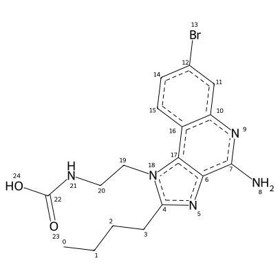 CCCCc1nc2c(N)nc3cc(Br)ccc3c2n1CCNC(=O)O